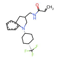 C=CC(=O)NCC1Cc2ccccc2N([C@H]2CC[C@@H](C(F)(F)F)CC2)C1